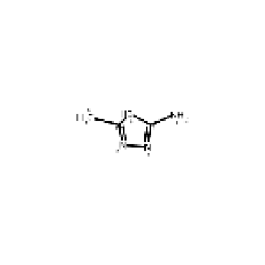 CC1=NN=C(N)B1